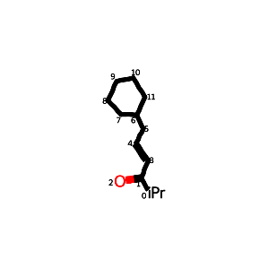 CC(C)C(=O)/C=C/CC1CCCCC1